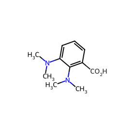 CN(C)c1cccc(C(=O)O)c1N(C)C